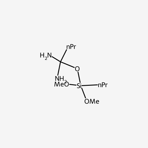 CCCC(N)(N)O[Si](CCC)(OC)OC